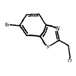 ClCc1nc2ccc(Br)cc2s1